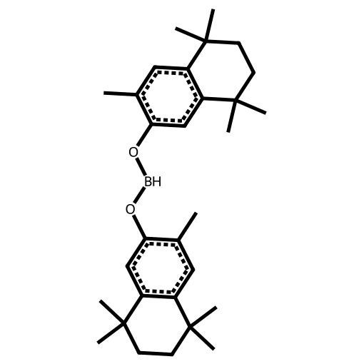 Cc1cc2c(cc1OBOc1cc3c(cc1C)C(C)(C)CCC3(C)C)C(C)(C)CCC2(C)C